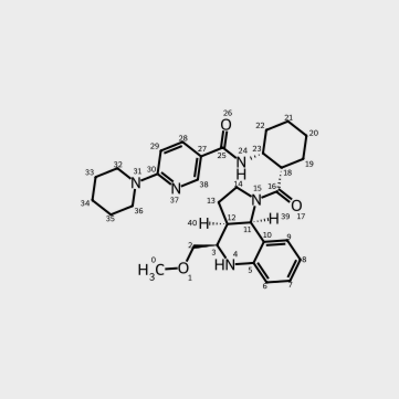 COC[C@@H]1Nc2ccccc2[C@H]2[C@@H]1CCN2C(=O)[C@H]1CCCC[C@H]1NC(=O)c1ccc(N2CCCCC2)nc1